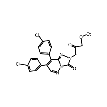 CCOCC(=O)Cn1nc2c(-c3ccc(Cl)cc3)c(-c3ccc(Cl)cc3)cnn2c1=O